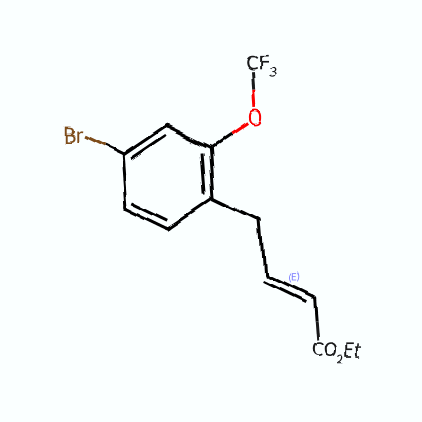 CCOC(=O)/C=C/Cc1ccc(Br)cc1OC(F)(F)F